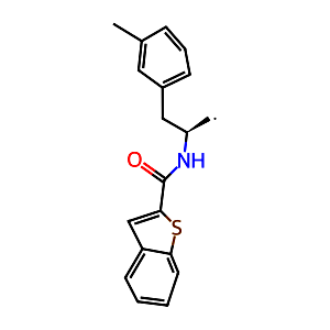 [CH2][C@H](Cc1cccc(C)c1)NC(=O)c1cc2ccccc2s1